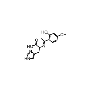 CC(=NC(Cc1c[nH]cn1)C(=O)O)c1ccc(O)cc1O